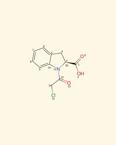 O=C(O)[C@@H]1Cc2ccccc2N1C(=O)CCl